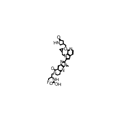 Cn1c(-c2cc3ccnc(OCC4CNC(=O)C4)c3n2CC2CC2)nc2cc3c(nc21)CCN(CC(CF)NC(=O)O)C3=O